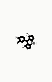 O=C1CCC2=C1C(c1ccc(F)c(I)c1)C1=C(CCC1=O)N2